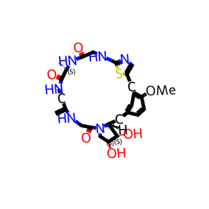 C=C1CNC(=O)[C@H](C)NC(=O)CNc2ncc(s2)Cc2cc(ccc2OC)C[C@@H]2[C@H](O)[C@@H](O)CN2C(=O)CN1